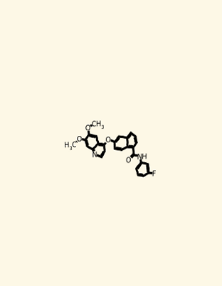 COc1cc2nccc(Oc3ccc4c(C(=O)Nc5cccc(F)c5)cccc4c3)c2cc1OC